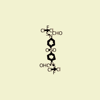 O=CN(SC(F)(Cl)Cl)c1ccc(S(=O)(=O)c2ccc(N(C=O)SC(F)(Cl)Cl)cc2)cc1